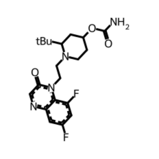 CC(C)(C)C1CC(OC(N)=O)CCN1CCn1c(=O)cnc2cc(F)cc(F)c21